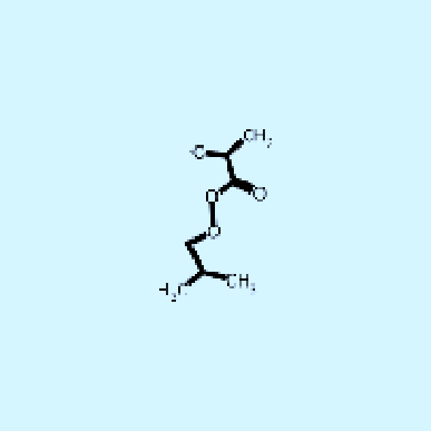 CC(C)COOC(=O)C(C)[O]